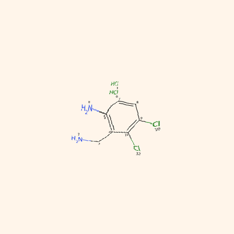 Cl.Cl.NCc1c(N)ccc(Cl)c1Cl